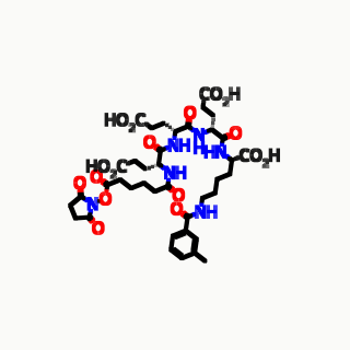 Cc1cccc(C(=O)NCCCC[C@@H](NC(=O)[C@@H](CCC(=O)O)NC(=O)[C@@H](CCC(=O)O)NC(=O)[C@@H](CCC(=O)O)NC(=O)CCCCC(=O)ON2C(=O)CCC2=O)C(=O)O)c1